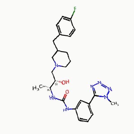 C[C@@H](NC(=O)Nc1cccc(-c2nnnn2C)c1)[C@@H](O)CN1CCCC(Cc2ccc(F)cc2)C1